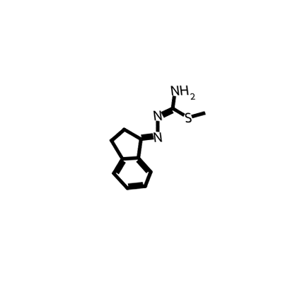 CSC(N)=NN=C1CCc2ccccc21